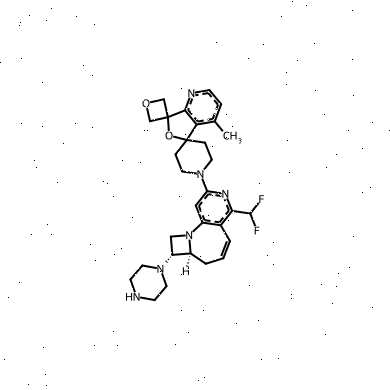 Cc1ccnc2c1C1(CCN(c3cc4c(c(C(F)F)n3)C=CC[C@H]3[C@H](N5CCNCC5)CN43)CC1)OC21COC1